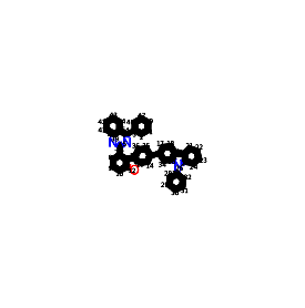 c1ccc(-c2nc(-c3cccc4oc5cc(-c6ccc7c8ccccc8n(-c8ccccc8)c7c6)ccc5c34)nc3ccccc23)cc1